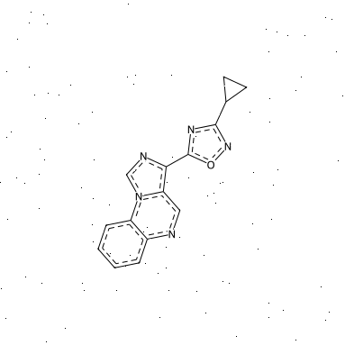 c1ccc2c(c1)ncc1c(-c3nc(C4CC4)no3)ncn12